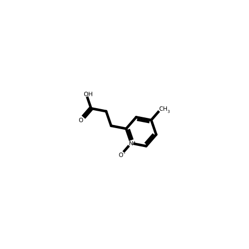 Cc1cc[n+]([O-])c(CCC(=O)O)c1